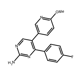 COc1ccc(-c2cnc(N)nc2-c2ccc(F)cc2)cn1